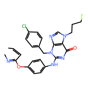 C/C=C\C(=N/C)Oc1ccc(Nc2nc(=O)c3c(ncn3CCCF)n2Cc2ccc(Cl)cc2)cc1